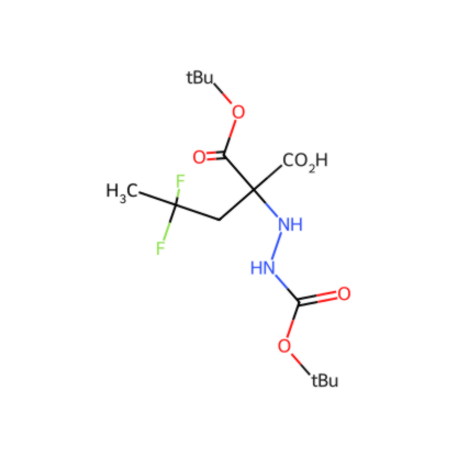 CC(F)(F)CC(NNC(=O)OC(C)(C)C)(C(=O)O)C(=O)OC(C)(C)C